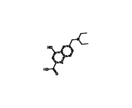 CCN(CC)Cc1ccc2nc(C(=O)O)cc(O)c2c1